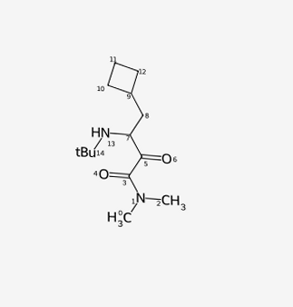 CN(C)C(=O)C(=O)C(CC1CCC1)NC(C)(C)C